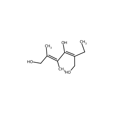 CCC(CO)=C(O)C(C)=C(C)CO